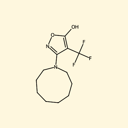 Oc1onc(N2CCCCCCCC2)c1C(F)(F)F